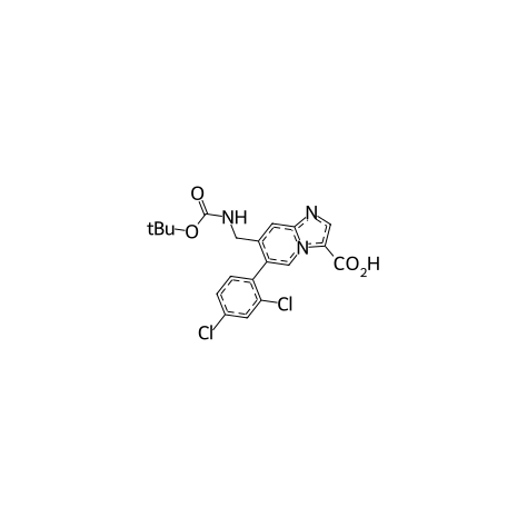 CC(C)(C)OC(=O)NCc1cc2ncc(C(=O)O)n2cc1-c1ccc(Cl)cc1Cl